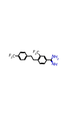 N=C(N)c1ccc(CCc2ccc(C(F)(F)F)cc2)c(C(F)(F)F)c1